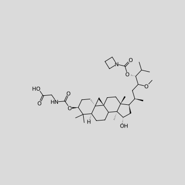 COC(C[C@@H](C)[C@H]1C[C@H](O)[C@@]2(C)C3CC[C@H]4C(C)(C)[C@@H](OC(=O)NCC(=O)O)CC[C@@]45C[C@@]35CC[C@]12C)[C@H](OC(=O)N1CCC1)C(C)C